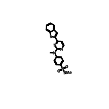 CNS(=O)(=O)c1ccc(N(C)c2nccc(-c3cc4ccccc4s3)n2)cc1